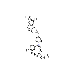 Cn1cc2c(cc1=O)C1(CCN(Cc3ccc(/C(=N/OCC(C)(C)O)c4ccc(F)c(F)c4)nc3)CC1)OC2